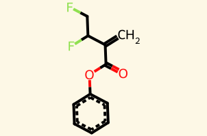 C=C(C(=O)Oc1ccccc1)C(F)CF